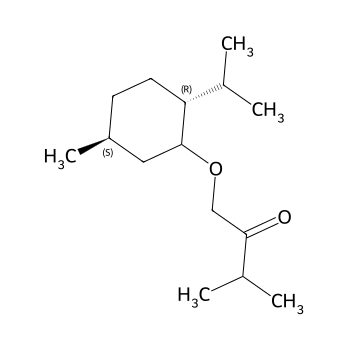 CC(C)C(=O)COC1C[C@@H](C)CC[C@@H]1C(C)C